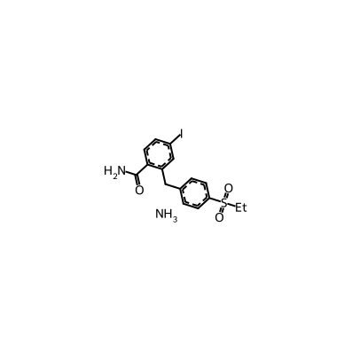 CCS(=O)(=O)c1ccc(Cc2cc(I)ccc2C(N)=O)cc1.N